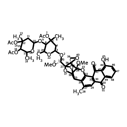 CO[C@H](OC1CC(C)(OC(C)=O)C(OC2CC(C)(OC(C)=O)C(OC(C)=O)C(C)O2)C(C)O1)C12OC3c4c(C)cc5c(c4O[C@](OC)(C3O1)[C@@]21CO1)C(=O)c1c(O)cccc1C5=O